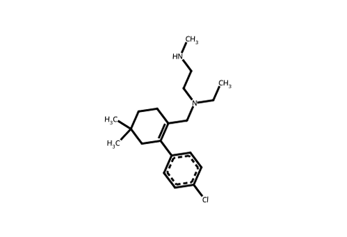 CCN(CCNC)CC1=C(c2ccc(Cl)cc2)CC(C)(C)CC1